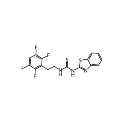 Fc1cc(F)c(F)c(CCNC(=S)Nc2nc3ccccc3s2)c1F